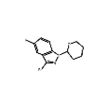 Brc1nn(C2CCCCO2)c2ccc(I)cc12